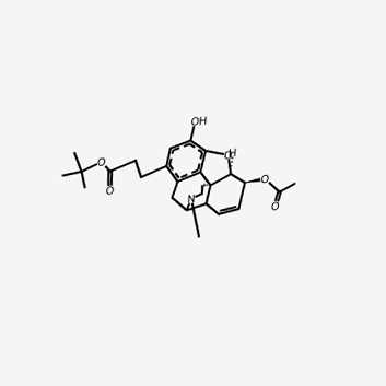 CC(=O)O[C@H]1C=CC2C3Cc4c(CCC(=O)OC(C)(C)C)cc(O)c5c4[C@@]2(CCN3C)[C@H]1O5